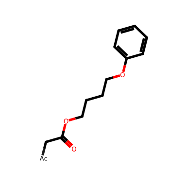 CC(=O)CC(=O)OCCCCOc1ccccc1